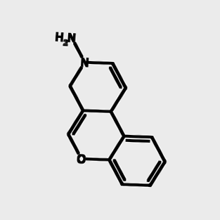 NN1C=CC2C(=COc3ccccc32)C1